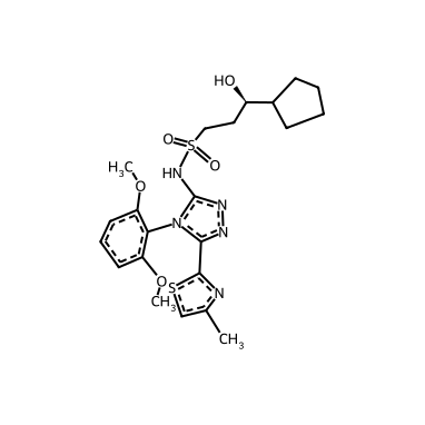 COc1cccc(OC)c1-n1c(NS(=O)(=O)CC[C@@H](O)C2CCCC2)nnc1-c1nc(C)cs1